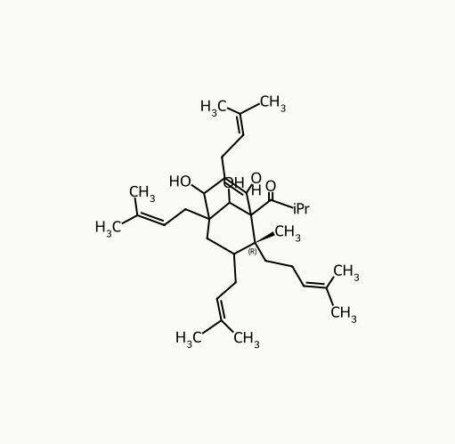 CC(C)=CCC[C@]1(C)C(CC=C(C)C)CC2(CC=C(C)C)C(O)C(CC=C(C)C)=C(O)C1(C(=O)C(C)C)C2O